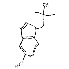 CC(C)(O)Cn1cnc2cc(O)ccc21